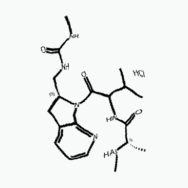 CNC(=O)NC[C@@H]1Cc2cccnc2N1C(=O)C(NC(=O)[C@H](C)[AsH]C)C(C)C.Cl